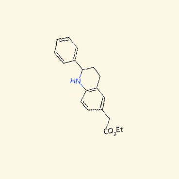 CCOC(=O)Cc1ccc2c(c1)CCC(c1ccccc1)N2